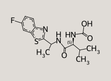 CC(NC(=O)[C@@H](NC(=O)O)C(C)C)c1nc2ccc(F)cc2s1